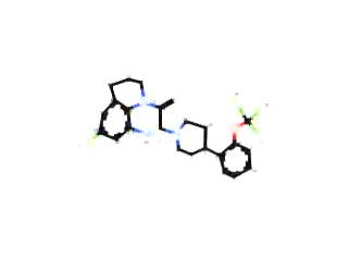 C=C(CN1CCC(c2ccccc2OC(F)(F)F)CC1)N1CCCc2cc(F)cc(N)c21